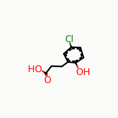 O=C(O)CCc1cc(Cl)ccc1O